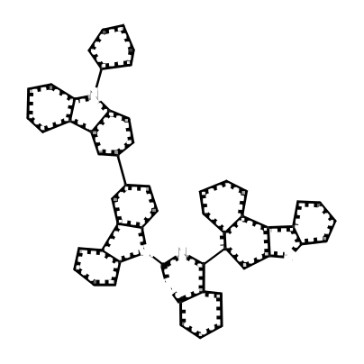 c1ccc(-n2c3ccccc3c3cc(-c4ccc5c(c4)c4ccccc4n5-c4nc(-c5cc6sc7ccccc7c6c6ccccc56)c5ccccc5n4)ccc32)cc1